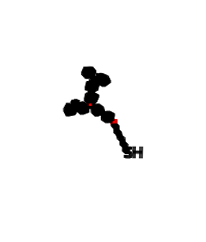 CC1(C)c2ccccc2-c2ccc(N(c3ccc(-c4ccc(CCCCCCCCCCS)cc4)cc3)c3ccc(-c4ccc5c(c4)c4ccccc4n5-c4ccccc4)cc3)cc21